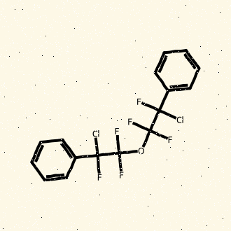 FC(F)(OC(F)(F)C(F)(Cl)c1ccccc1)C(F)(Cl)c1ccccc1